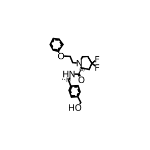 C[C@H](NC(=O)[C@@H]1CC(F)(F)CCN1CCOc1ccccc1)c1ccc(CO)cc1